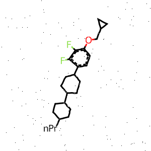 CCCC1CCC(C2CCC(c3ccc(OCC4CC4)c(F)c3F)CC2)CC1